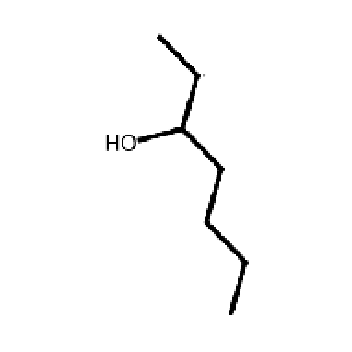 C[CH]C(O)CCCC